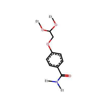 CCOC(COc1ccc(C(=O)N(CC)CC)cc1)OCC